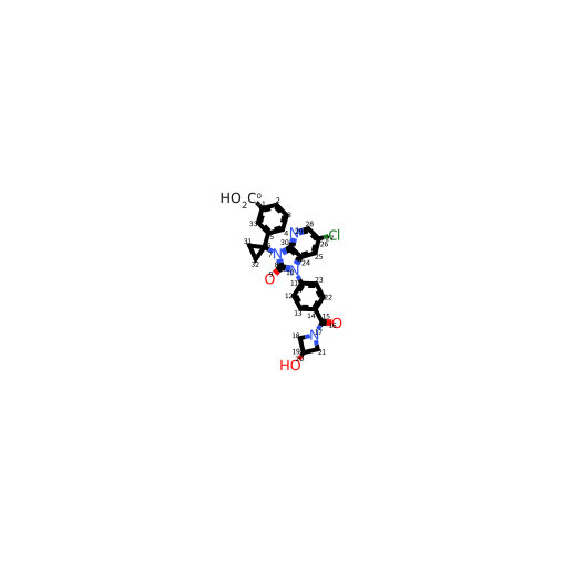 O=C(O)c1cccc(C2(n3c(=O)n(-c4ccc(C(=O)N5CC(O)C5)cc4)c4cc(Cl)cnc43)CC2)c1